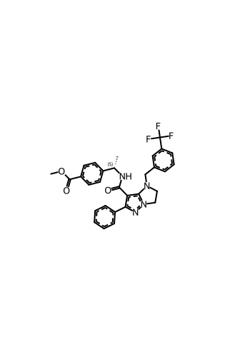 COC(=O)c1ccc([C@H](C)NC(=O)c2c(-c3ccccc3)nn3c2N(Cc2cccc(C(F)(F)F)c2)CC3)cc1